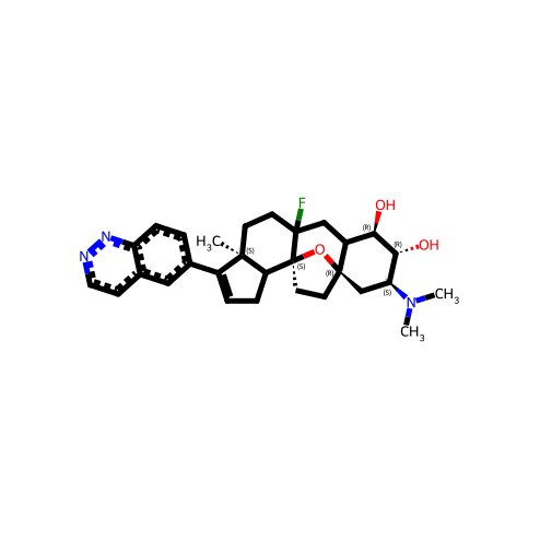 CN(C)[C@H]1C[C@@]23CC[C@]4(O2)C2CC=C(c5ccc6nnccc6c5)[C@@]2(C)CCC4(F)CC3[C@@H](O)[C@@H]1O